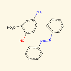 Nc1ccc(O)c(C(=O)O)c1.c1ccc(N=Nc2ccccc2)cc1